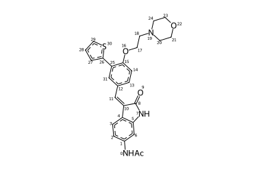 CC(=O)Nc1ccc2c(c1)NC(=O)/C2=C\c1ccc(OCCN2CCOCC2)c(-c2cccs2)c1